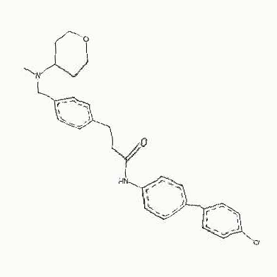 CN(Cc1ccc(CCC(=O)Nc2ccc(-c3ccc(Cl)cc3)cc2)cc1)C1CCOCC1